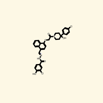 O=C(N/N=C/c1ccc(OCC(=O)N2CCC(O)(c3ccc(Cl)cc3)CC2)c2ccccc12)c1ccc(O)c(Cl)c1